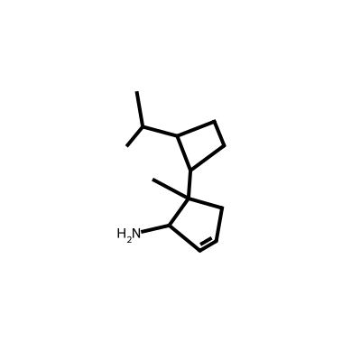 CC(C)C1CCC1C1(C)CC=CC1N